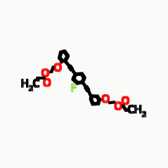 C=CC(=O)OCCOc1cccc(C#Cc2ccc(C#Cc3ccccc3OCCOC(=O)C=C)cc2F)c1